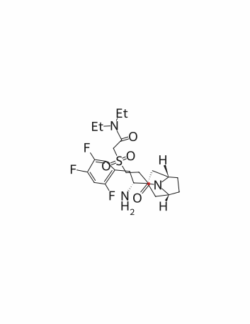 CCN(CC)C(=O)CS(=O)(=O)CCC(=O)N1[C@@H]2CC[C@H]1C[C@@H]([C@H](N)Cc1cc(F)c(F)cc1F)C2